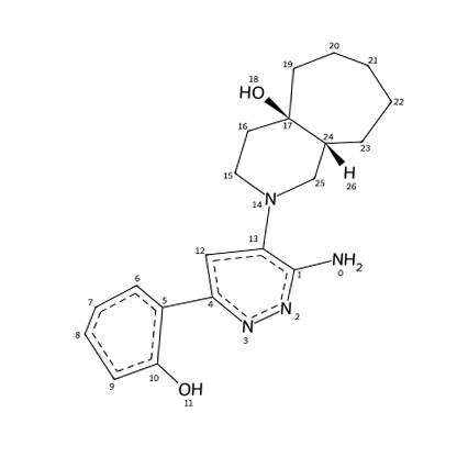 Nc1nnc(-c2ccccc2O)cc1N1CC[C@]2(O)CCCCC[C@@H]2C1